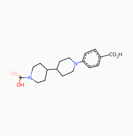 B=C(O)N1CCC(C2CCN(c3ccc(C(=O)O)cc3)CC2)CC1